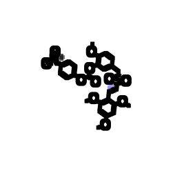 COc1cc(OC)c(/C=C/S(=O)(=O)Cc2ccc(OC)c(OC(=O)Oc3ccc([N+](=O)[O-])cc3)c2)c(OC)c1